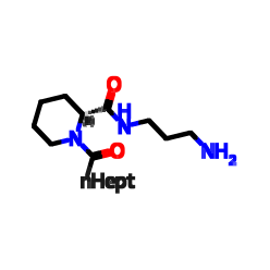 CCCCCCCC(=O)N1CCCC[C@@H]1C(=O)NCCCN